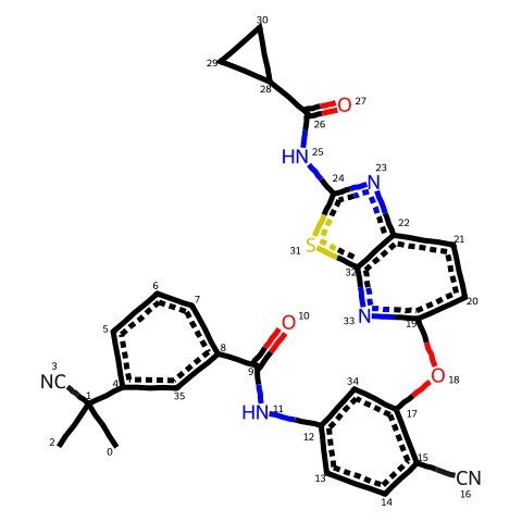 CC(C)(C#N)c1cccc(C(=O)Nc2ccc(C#N)c(Oc3ccc4nc(NC(=O)C5CC5)sc4n3)c2)c1